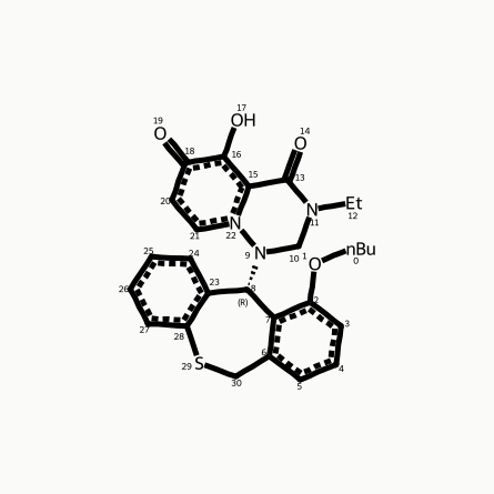 CCCCOc1cccc2c1[C@@H](N1CN(CC)C(=O)c3c(O)c(=O)ccn31)c1ccccc1SC2